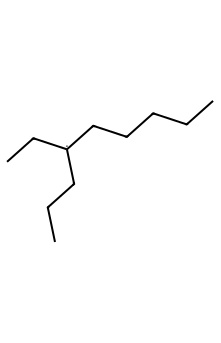 CCCCC[C](CC)CCC